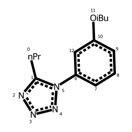 CCCc1nnnn1-c1cccc(OCC(C)C)c1